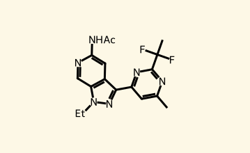 CCn1nc(-c2cc(C)nc(C(C)(F)F)n2)c2cc(NC(C)=O)ncc21